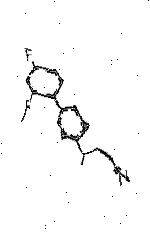 CC(CC#N)c1ccc(-c2ccc(F)cc2F)cc1